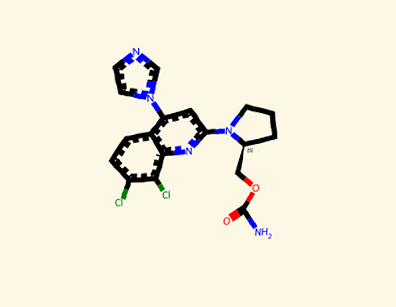 NC(=O)OC[C@@H]1CCCN1c1cc(-n2ccnc2)c2ccc(Cl)c(Cl)c2n1